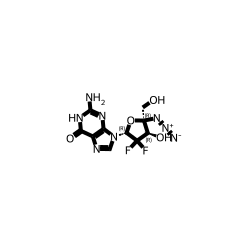 [N-]=[N+]=N[C@]1(CO)O[C@@H](n2cnc3c(=O)[nH]c(N)nc32)C(F)(F)[C@@H]1O